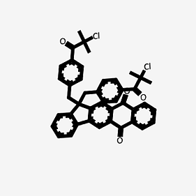 CC(C)(Cl)C(=O)c1ccc(CC2(Cc3ccc(C(=O)C(C)(C)Cl)cc3)c3ccccc3-c3cc4c(cc32)C(=O)c2ccccc2C4=O)cc1